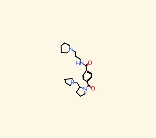 O=C(NCCCN1CCCCC1)c1ccc(C(=O)N2CCCC2CN2CCCC2)cc1